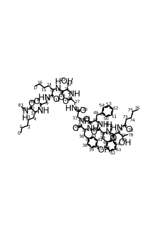 CCCCCC(NC(=O)CNC(=O)C(CCCC)NC(=O)C(CO)NC(=O)CNC(=O)CNC(=O)C(Cc1ccc(O)cc1)NC(=O)C(Cc1ccccc1)NC(=O)C(Cc1ccccc1)NC(=O)C(NC(=O)CCCC)C(C)O)C(=O)NC